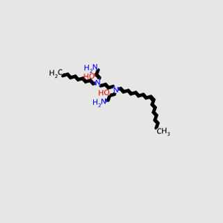 C=CCCCCCCCCN(CCCCN(CCCCCCCC/C=C\CCCCCCCC)CC(O)CN)CC(O)CN